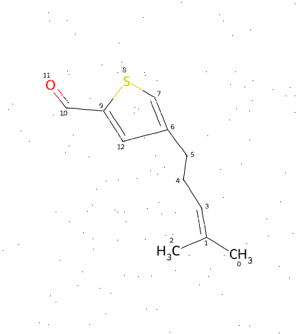 CC(C)=CCCc1csc(C=O)c1